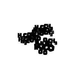 CO[C@H]1[C@@H](O[Si](C)(C)C(C)(C)C)[C@H](n2cnc3c(=O)n(C(=O)c4ccccc4)c(NC(C)=O)nc32)O[C@@H]1CO[Si](C)(C)C(C)(C)C